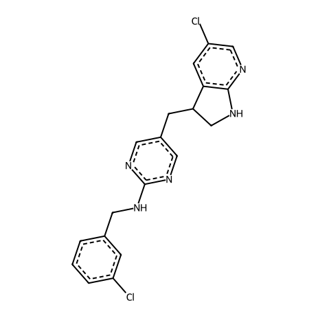 Clc1cccc(CNc2ncc(CC3CNc4ncc(Cl)cc43)cn2)c1